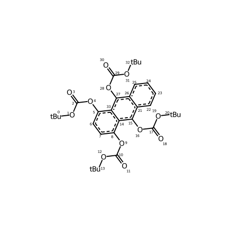 CC(C)(C)OC(=O)Oc1ccc(OC(=O)OC(C)(C)C)c2c(OC(=O)OC(C)(C)C)c3ccccc3c(OC(=O)OC(C)(C)C)c12